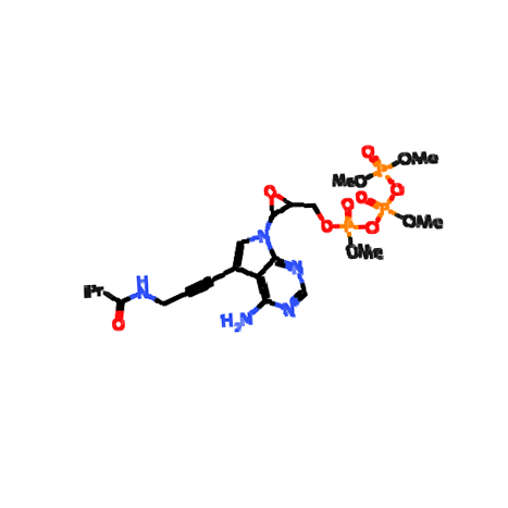 COP(=O)(OC)OP(=O)(OC)OP(=O)(OC)OCC1OC1n1cc(C#CCNC(=O)C(C)C)c2c(N)ncnc21